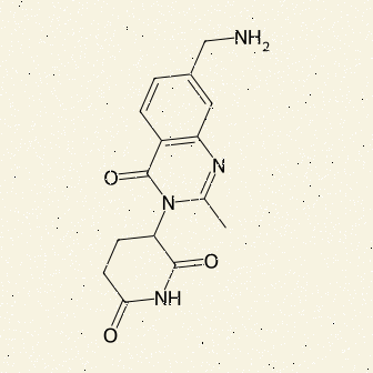 Cc1nc2cc(CN)ccc2c(=O)n1C1CCC(=O)NC1=O